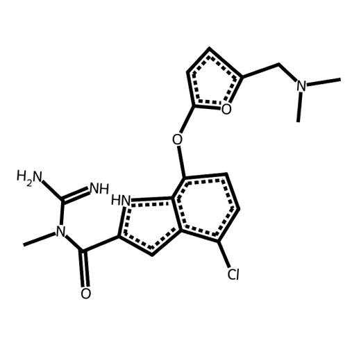 CN(C)Cc1ccc(Oc2ccc(Cl)c3cc(C(=O)N(C)C(=N)N)[nH]c23)o1